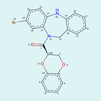 O=C([C@H]1COc2ccccc2O1)N1Cc2ccccc2Nc2ccc(Br)cc21